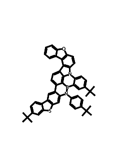 CC(C)(C)c1ccc(N2B3c4cc(C(C)(C)C)ccc4-n4c5ccc6oc7ccccc7c6c5c5ccc(c3c54)-c3cc4c(cc32)sc2cc(C(C)(C)C)ccc24)cc1